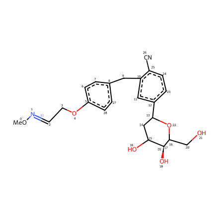 CO/N=C/COc1ccc(Cc2cc(C3CC(O)[C@H](O)C(CO)O3)ccc2C#N)cc1